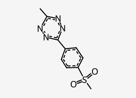 Cc1nnc(-c2ccc(S(C)(=O)=O)cc2)nn1